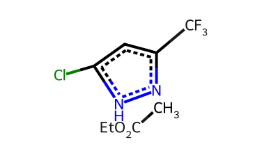 CCOC(C)=O.FC(F)(F)c1cc(Cl)[nH]n1